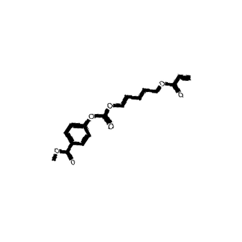 C=CC(=O)OCCCCCOC(=O)Oc1ccc(C(=O)OC)cc1